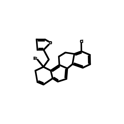 CCC1(Cc2ccco2)CC=Cc2ccc3c(c21)CCc1c(Cl)cccc1-3